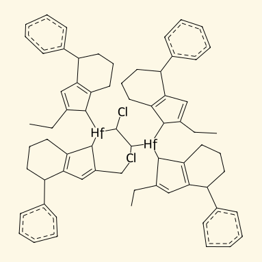 CCC1=CC2=C(CCCC2c2ccccc2)[CH]1[Hf]([CH]1C(CC)=CC2=C1CCCC2c1ccccc1)[CH](Cl)[CH](Cl)[Hf]([CH]1C(CC)=CC2=C1CCCC2c1ccccc1)[CH]1C(CC)=CC2=C1CCCC2c1ccccc1